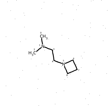 CN(C)CCN1CCC1